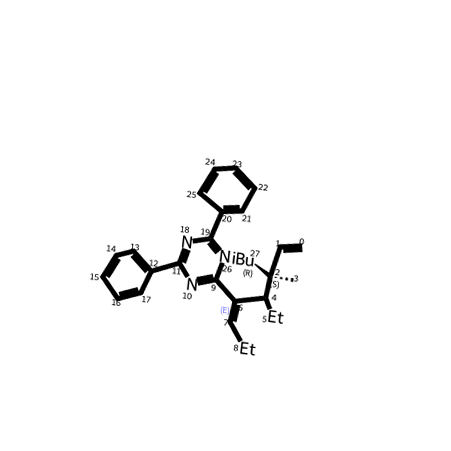 C=C[C@@](C)(C(CC)/C(=C\CC)c1nc(-c2ccccc2)nc(-c2ccccc2)n1)[C@H](C)CC